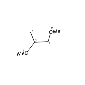 COCC(C)OC